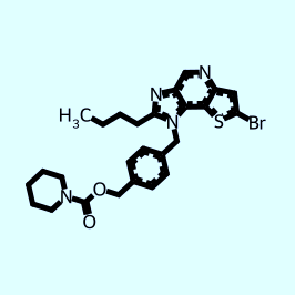 CCCCc1nc2cnc3cc(Br)sc3c2n1Cc1ccc(COC(=O)N2CCCCC2)cc1